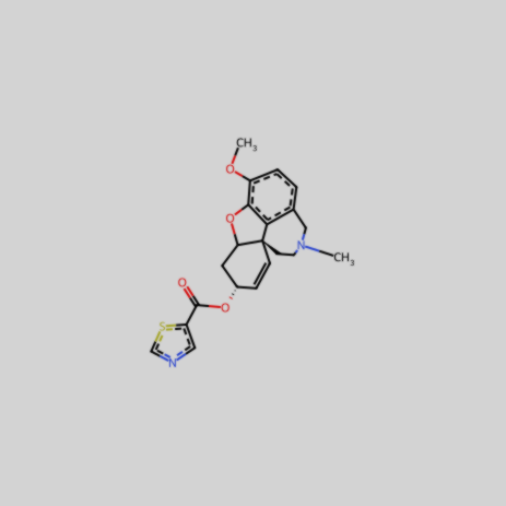 COc1ccc2c3c1OC1C[C@@H](OC(=O)c4cncs4)C=C[C@@]31CCN(C)C2